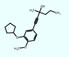 CCCC(C)(O)C#Cc1ccc(OC)c(OC2CCCC2)c1